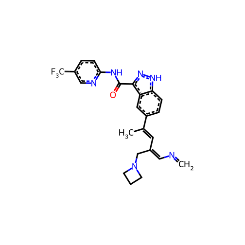 C=N/C=C(\C=C(/C)c1ccc2[nH]nc(C(=O)Nc3ccc(C(F)(F)F)cn3)c2c1)CN1CCC1